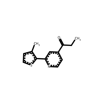 CCC(=O)c1ccnc(-c2sccc2C)c1